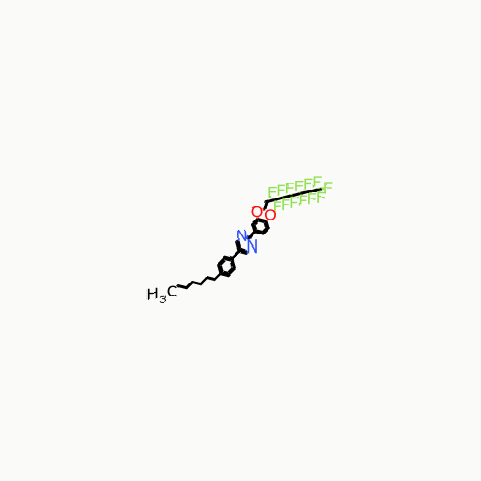 CCCCCCCc1ccc(-c2cnc(-c3ccc4c(c3)OC(CC(F)(F)C(F)(F)C(F)(F)C(F)(F)C(F)(F)C(F)(F)F)O4)nc2)cc1